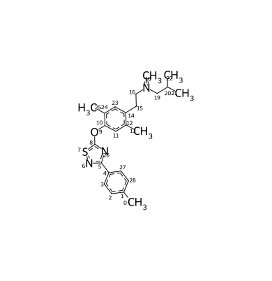 Cc1ccc(-c2nsc(Oc3cc(C)c(CCN(C)CC(C)C)cc3C)n2)cc1